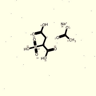 CC(=O)[O-].O=C(O)CC(C(=O)O)S(=O)(=O)O.[Na+]